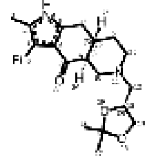 CCc1c(C)[nH]c2c1C(=O)[C@@H]1CN(C[C@H]3COC(C)(C)O3)CC[C@H]1C2